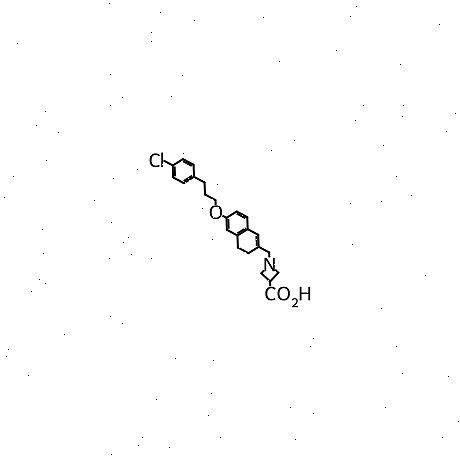 O=C(O)C1CN(CC2=Cc3ccc(OCCCc4ccc(Cl)cc4)cc3CC2)C1